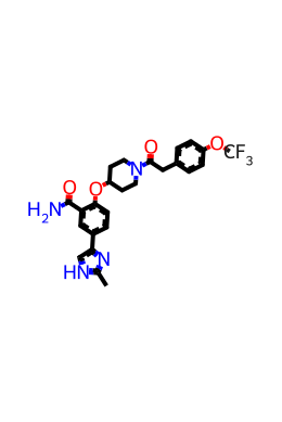 Cc1nc(-c2ccc(OC3CCN(C(=O)Cc4ccc(OC(F)(F)F)cc4)CC3)c(C(N)=O)c2)c[nH]1